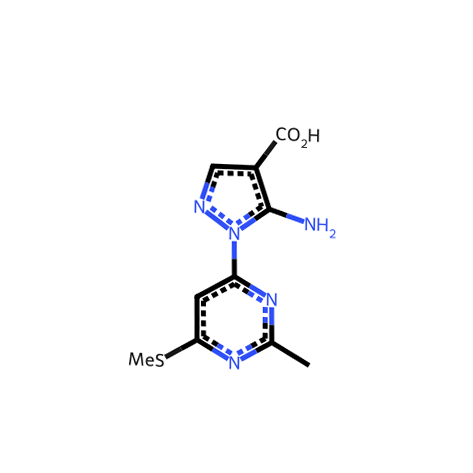 CSc1cc(-n2ncc(C(=O)O)c2N)nc(C)n1